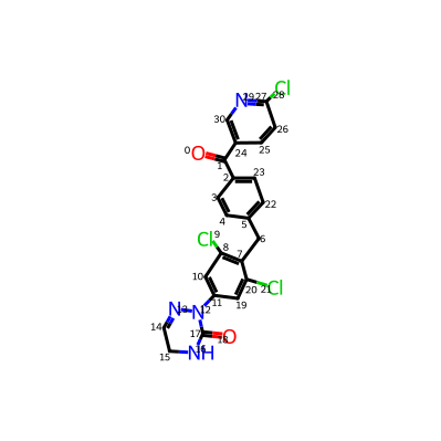 O=C(c1ccc(Cc2c(Cl)cc(N3N=CCNC3=O)cc2Cl)cc1)c1ccc(Cl)nc1